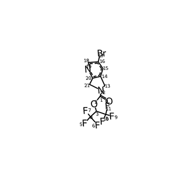 O=C(OC(C(F)(F)F)C(F)(F)F)N1Cc2cc(Br)cnc2C1